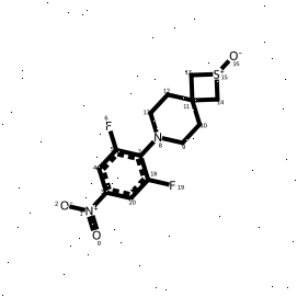 O=[N+]([O-])c1cc(F)c(N2CCC3(CC2)C[S+]([O-])C3)c(F)c1